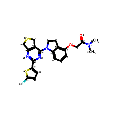 CN(C)C(=O)COc1cccc2c1CCN2c1nc(-c2ccc(F)s2)nc2c1CSC2